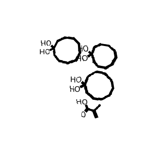 C=C(C)C(=O)O.OC1(O)CCCCCCCCC1.OC1(O)CCCCCCCCC1.OC1(O)CCCCCCCCC1